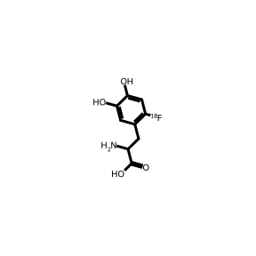 NC(Cc1cc(O)c(O)cc1[18F])C(=O)O